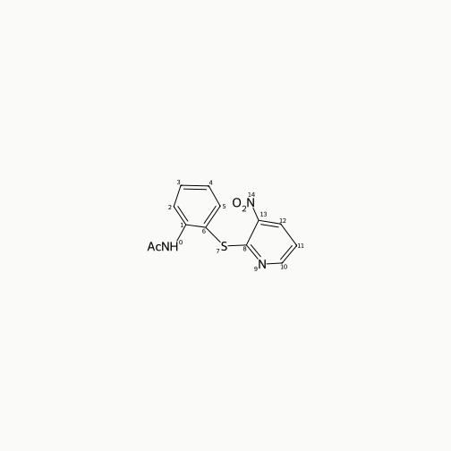 CC(=O)Nc1ccccc1Sc1ncccc1[N+](=O)[O-]